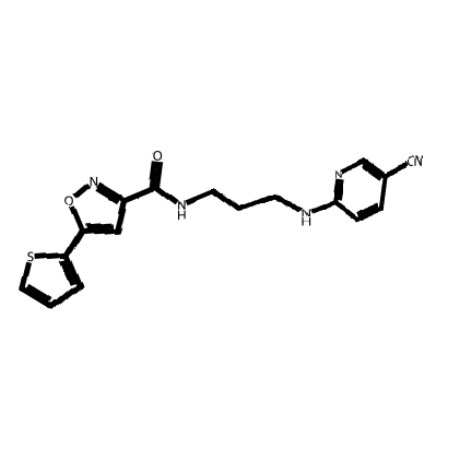 N#Cc1ccc(NCCCNC(=O)c2cc(-c3cccs3)on2)nc1